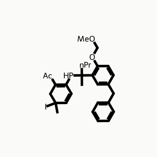 CCCC(C)(PC1=C(C(C)=O)CC(C)(I)C=C1)c1cc(Cc2ccccc2)ccc1OCOC